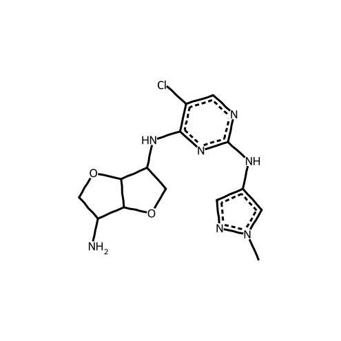 Cn1cc(Nc2ncc(Cl)c(NC3COC4C(N)COC34)n2)cn1